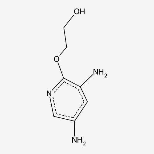 Nc1cnc(OCCO)c(N)c1